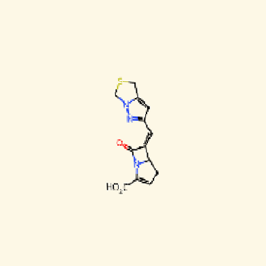 O=C(O)C1=CCC2C(=Cc3cc4n(n3)CSC4)C(=O)N12